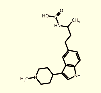 CC(CCc1ccc2[nH]cc(C3CCN(C)CC3)c2c1)NS(=O)O